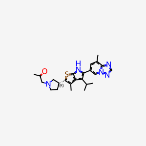 CC(=O)CN1CC[C@@H](c2sc3[nH]c(-c4cc(C)c5ncnn5c4)c(C(C)C)c3c2C)C1